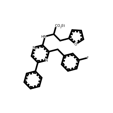 CCOC(=O)C(Cc1ccco1)Nc1ncc(-c2ccccc2)nc1Cc1cccc(F)c1